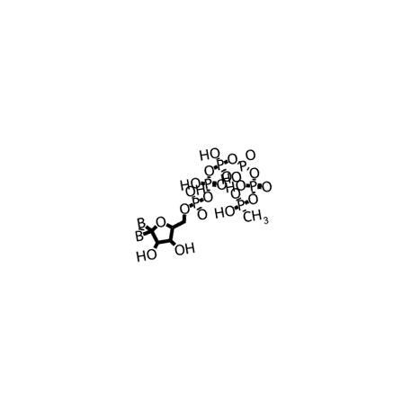 CP(=O)(O)OP(=O)(O)OP(=O)(O)OP(=O)(O)OP(=O)(O)OP(=O)(O)OCC1OC2(B=B2)C(O)C1O